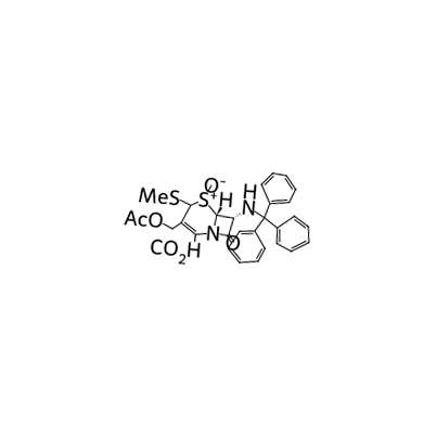 CSC1C(COC(C)=O)=C(C(=O)O)N2C(=O)[C@@H](NC(c3ccccc3)(c3ccccc3)c3ccccc3)[C@H]2[S+]1[O-]